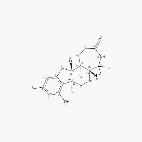 Cc1cc(O)c2c(c1)C[C@@H]1[C@@]3(C)CCC(=O)NC(C)(C)[C@@H]3CC[C@@]21C